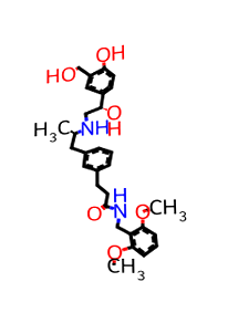 COc1cccc(OC)c1CNC(=O)CCc1cccc(C[C@@H](C)NC[C@@H](O)c2ccc(O)c(CO)c2)c1